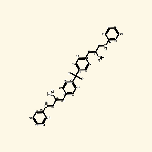 CC(C)(c1ccc(CC(O)COc2ccccc2)cc1)c1ccc(CC(O)COc2ccccc2)cc1